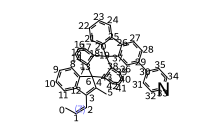 C/C=C\C1=C(C)C2(c3ccccc31)c1ccccc1C1(c3ccccc3-c3ccc(-c4ccncc4)cc31)c1ccccc12